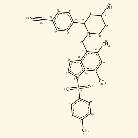 Cc1ccc(S(=O)(=O)n2ccc3c(CN4CCC(O)CC4c4ccc(C#N)cc4)c(C)cc(C)c32)cc1